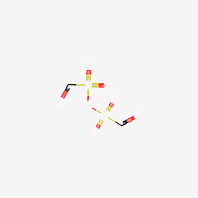 O=CS(=O)(=O)OS(=O)(=O)C=O